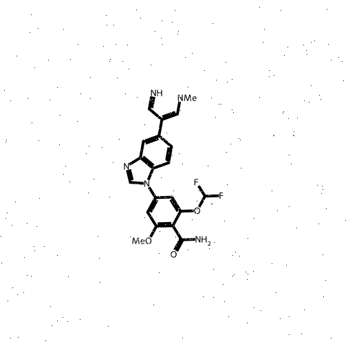 CN/C=C(\C=N)c1ccc2c(c1)ncn2-c1cc(OC)c(C(N)=O)c(OC(F)F)c1